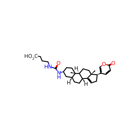 C[C@]12CC[C@H](NC(=O)NCCCC(=O)O)C[C@H]1CC[C@H]1C3=CC[C@H](c4ccc(=O)oc4)[C@@]3(C)CC[C@@H]12